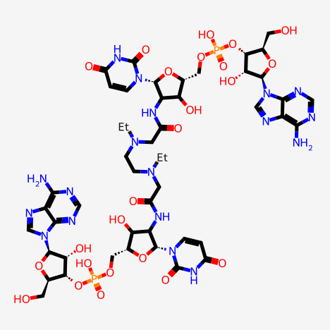 CCN(CCN(CC)CC(=O)NC1C(O)[C@@H](COP(=O)(O)O[C@H]2[C@@H](O)[C@H](n3cnc4c(N)ncnc43)O[C@@H]2CO)O[C@H]1n1ccc(=O)[nH]c1=O)CC(=O)NC1C(O)[C@@H](COP(=O)(O)O[C@H]2[C@@H](O)[C@H](n3cnc4c(N)ncnc43)O[C@@H]2CO)O[C@H]1n1ccc(=O)[nH]c1=O